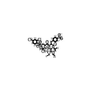 CCOC(CN(C(=O)C(Cc1ccc([N+](=O)[O-])cc1)NC(=O)C(CNS(=O)(=O)c1ccc(Cl)cc1Cl)NC(=O)O)C(C)C)OCC